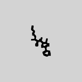 C=CCSCC(C)C(=O)N(C)c1sc(-c2cccnc2)nc1C